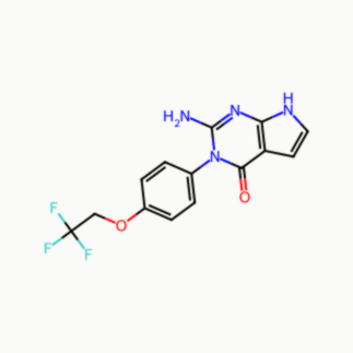 Nc1nc2[nH]ccc2c(=O)n1-c1ccc(OCC(F)(F)F)cc1